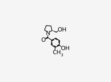 Cc1cc(C(=O)N2CCC[C@H]2CO)ccc1O